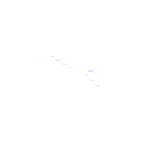 CCCCCCCCCCCCCCCCCCCCC(CCCCO)C(N)=O